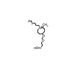 CCCCCCCCCCCCOCOC1CCC[SiH](CCCSC(C)=O)N(C)CC1